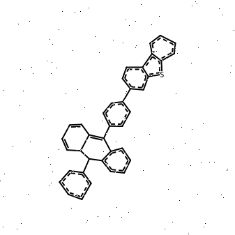 C1=CC2=C(c3ccc(-c4ccc5c(c4)sc4ccccc45)cc3)c3ccccc3C(c3ccccc3)C2C=C1